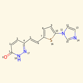 O=c1ccc(C=Cc2ccc(-n3ccnc3)s2)n[nH]1